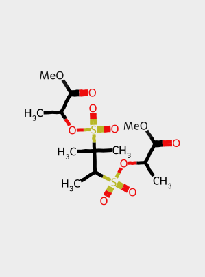 COC(=O)C(C)OS(=O)(=O)C(C)C(C)(C)S(=O)(=O)OC(C)C(=O)OC